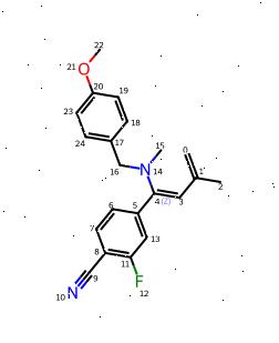 C=C(C)/C=C(/c1ccc(C#N)c(F)c1)N(C)Cc1ccc(OC)cc1